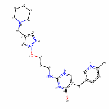 Cc1ccc(Cc2c[nH]c(NCCCOn3cc(CN4CCCCC4)cn3)nc2=O)cn1